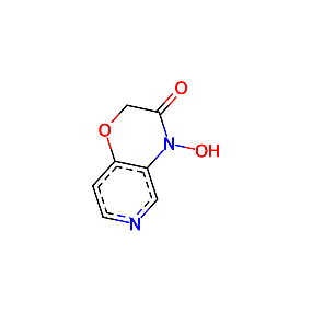 O=C1COc2ccncc2N1O